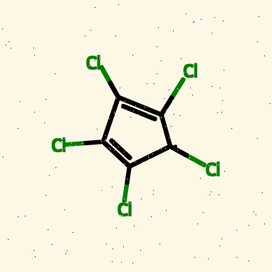 Cl[C]1C(Cl)=C(Cl)C(Cl)=C1Cl